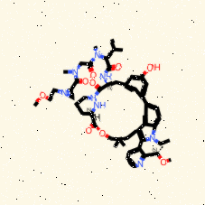 CCn1c(-c2cccnc2[C@H](C)OC)c2c3cc(ccc31)-c1cc(O)cc(c1)C[C@H](NC(=O)C(C(C)C)N(C)C(=O)CN(C)C(=O)C1CN1CCOC)C(=O)N1CCC[C@H](N1)C(=O)OCC(C)(C)C2